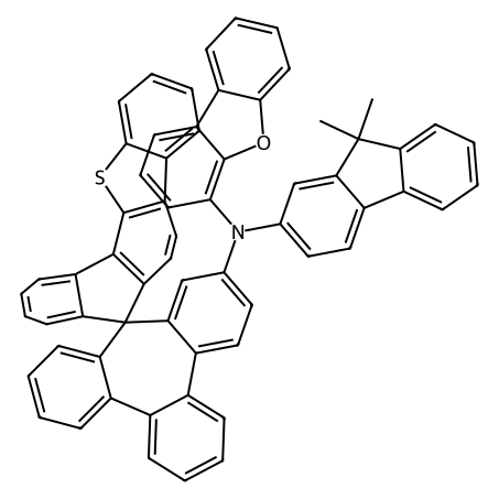 CC1(C)c2ccccc2-c2ccc(N(c3ccc4c(c3)C3(c5ccccc5-c5ccccc5-4)c4ccccc4-c4c3ccc3c4sc4ccccc43)c3cccc4c3oc3ccccc34)cc21